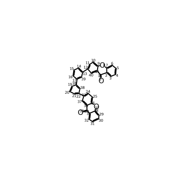 O=c1c2ccccc2oc2ccc(-c3cccc(-c4cccc(-c5ccc6oc7ccccc7c(=O)c6c5)c4)c3)cc12